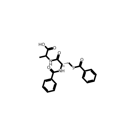 CC(NC(=O)[C@H](CSC(=O)c1ccccc1)NC(=O)c1ccccc1)C(=O)O